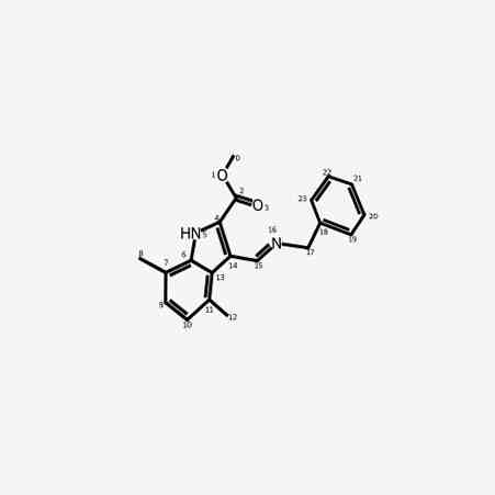 COC(=O)c1[nH]c2c(C)ccc(C)c2c1C=NCc1ccccc1